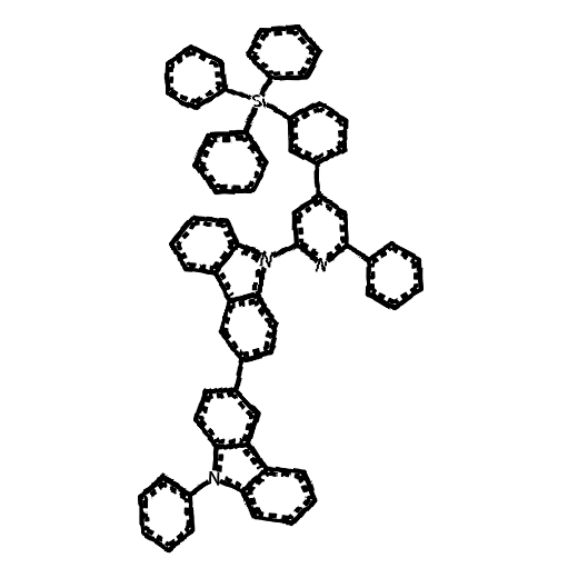 c1ccc(-c2cc(-c3cccc([Si](c4ccccc4)(c4ccccc4)c4ccccc4)c3)cc(-n3c4ccccc4c4cc(-c5ccc6c(c5)c5ccccc5n6-c5ccccc5)ccc43)n2)cc1